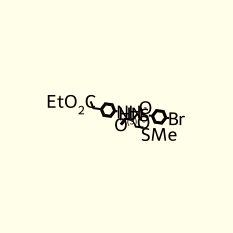 CCOC(=O)Cc1ccc(NC(=O)[C@H](CCSC)NS(=O)(=O)c2ccc(Br)cc2)cc1